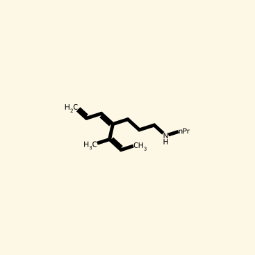 C=C/C=C(CCCNCCC)\C(C)=C/C